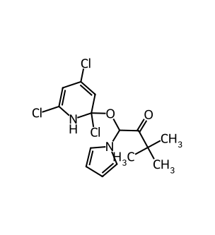 CC(C)(C)C(=O)C(OC1(Cl)C=C(Cl)C=C(Cl)N1)n1cccc1